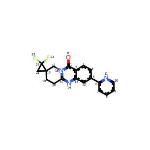 O=c1c2ccc(-c3ccccn3)cc2nc2n1CC1(CC2)CC1(F)F